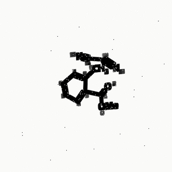 COC(=O)c1ccccc1C.N#CC#N